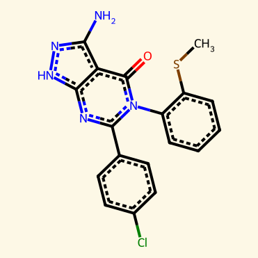 CSc1ccccc1-n1c(-c2ccc(Cl)cc2)nc2[nH]nc(N)c2c1=O